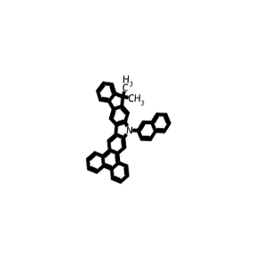 CC1(C)c2ccccc2-c2cc3c4cc5c6ccccc6c6ccccc6c5cc4n(-c4ccc5ccccc5c4)c3cc21